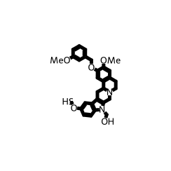 COc1cccc(COc2cc3c(cc2OC)CCN2Cc4c(c5cc(OS)ccc5n4CO)CC32)c1